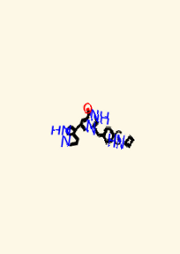 O=c1[nH]cc(Cc2ccc(CNC3CCC3)cc2)n2cc(-c3c[nH]c4ncccc34)cc12